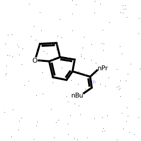 CCCC/C=C(/CCC)c1ccc2occc2c1